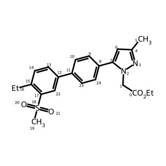 CCOC(=O)Cn1nc(C)cc1-c1ccc(-c2ccc(CC)c(S(C)(=O)=O)c2)cc1